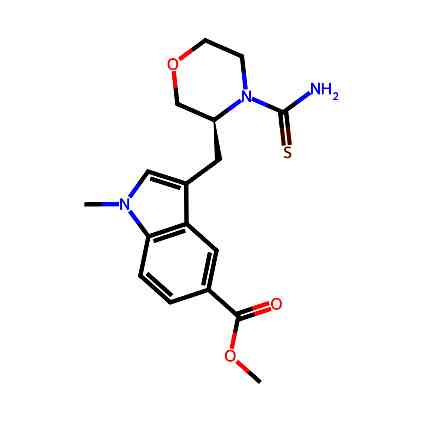 COC(=O)c1ccc2c(c1)c(C[C@H]1COCCN1C(N)=S)cn2C